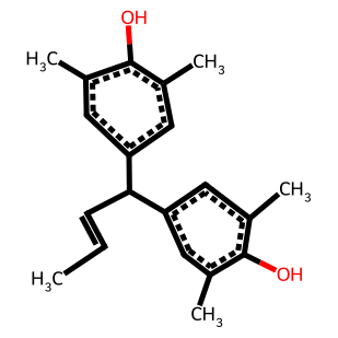 CC=CC(c1cc(C)c(O)c(C)c1)c1cc(C)c(O)c(C)c1